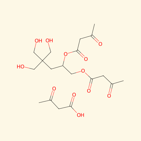 CC(=O)CC(=O)O.CC(=O)CC(=O)OCC(CC(CO)(CO)CO)OC(=O)CC(C)=O